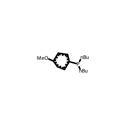 CCCCP(CCCC)c1ccc(OC)cc1